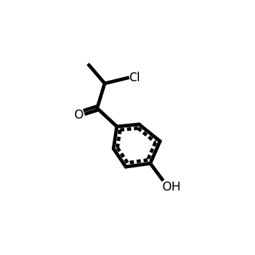 CC(Cl)C(=O)c1ccc(O)cc1